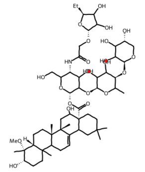 CC[C@@H]1O[C@@H](OCC(=O)N[C@H]2C(CO)O[C@@H](OC(=O)[C@]34CCC(C)(C)CC3C3=CCC5C6(C)CC[C@H](O)[C@](C)(OC)[C@@H]6CC[C@]5(C)[C@]3(C)CC4O)C(O[C@@H]3OC(C)[C@H](O[C@@H]4OC[C@@H](O)C(O)C4O)C(O)C3O)C2O)C(O)C1O